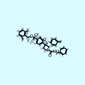 O=C(NCc1ccccc1)N1CCC(c2ccc(C(OCc3c(F)cccc3F)(C(F)(F)F)C(F)(F)F)cc2)([S+]([O-])c2ccc(F)cc2)C1